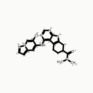 CN(C)C(=O)C1CCc2c(sc3ncnc(Nc4cc5ccnn5cc4Cl)c23)C1